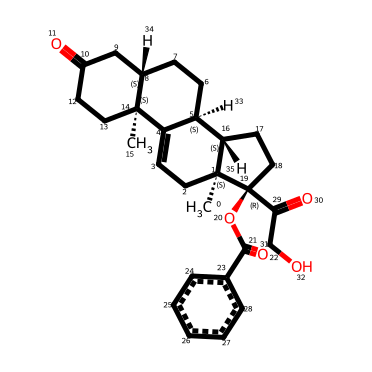 C[C@]12CC=C3[C@@H](CC[C@H]4CC(=O)CC[C@]34C)[C@@H]1CC[C@]2(OC(=O)c1ccccc1)C(=O)CO